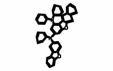 c1ccc(N(c2cc(N(c3ccccc3)c3ccccc3)c3c(c2)oc2cc4ccccc4cc23)c2ccc3oc4ccccc4c3c2)cc1